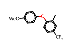 COc1ccc(Oc2ccc(C(F)(F)F)cc2C)cc1